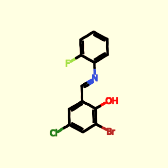 Oc1c(Br)cc(Cl)cc1/C=N/c1ccccc1F